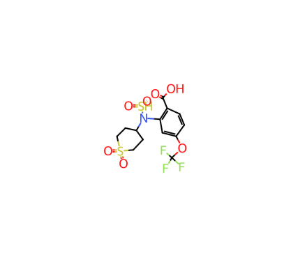 O=C(O)c1ccc(OC(F)(F)F)cc1N(C1CCS(=O)(=O)CC1)[SH](=O)=O